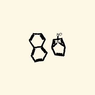 O=Nn1c2ccc1cc2.c1ccc2ccccc2c1